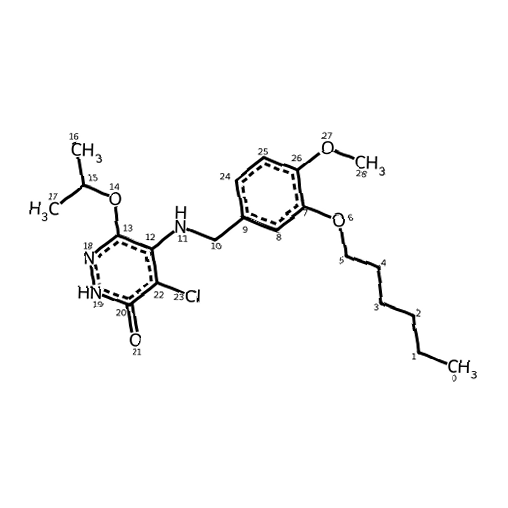 CCCCCCOc1cc(CNc2c(OC(C)C)n[nH]c(=O)c2Cl)ccc1OC